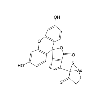 O=C1OC2(c3ccc(O)cc3Oc3cc(O)ccc32)c2cccc(C34S[As]3CCC4=S)c21